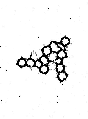 Cc1c2c(nc3ccccc13)-c1cccc3c(-n4c5cc6ccccc6cc5c5cc6c7c(c54)-c4ccccc4C(CC7)c4ccccc4-6)ccc-2c13